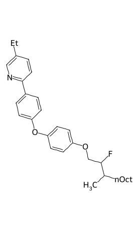 CCCCCCCCC(C)C(F)COc1ccc(Oc2ccc(-c3ccc(CC)cn3)cc2)cc1